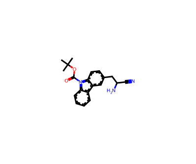 CC(C)(C)OC(=O)n1c2ccccc2c2cc(CC(N)C#N)ccc21